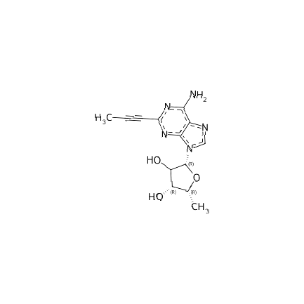 CC#Cc1nc(N)c2ncn([C@@H]3O[C@H](C)[C@H](O)C3O)c2n1